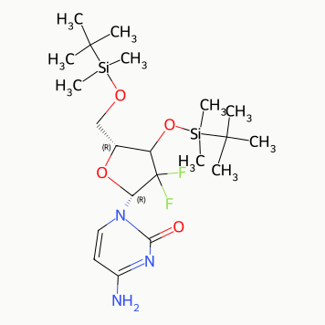 CC(C)(C)[Si](C)(C)OC[C@H]1O[C@@H](n2ccc(N)nc2=O)C(F)(F)C1O[Si](C)(C)C(C)(C)C